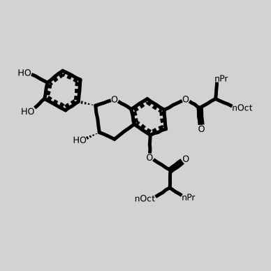 CCCCCCCCC(CCC)C(=O)Oc1cc(OC(=O)C(CCC)CCCCCCCC)c2c(c1)O[C@@H](c1ccc(O)c(O)c1)[C@@H](O)C2